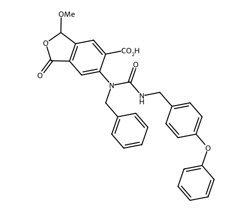 COC1OC(=O)c2cc(N(Cc3ccccc3)C(=O)NCc3ccc(Oc4ccccc4)cc3)c(C(=O)O)cc21